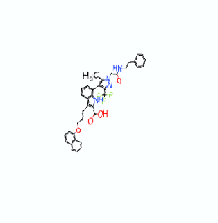 Cc1c(-c2cccc3c(CCCOc4cccc5ccccc45)c(C(=O)O)[nH]c23)c(C(F)(F)F)nn1CC(=O)NCCc1ccccc1